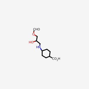 O=COCC(O)CNC1CCC(C(=O)O)CC1